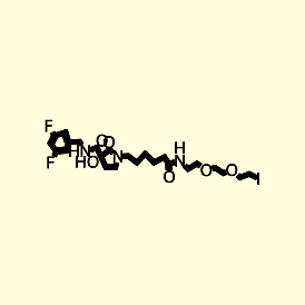 O=C(CCCCCN1CCC(O)(C(=O)NCc2cc(F)cc(F)c2)C1=O)NCCOCCOCCI